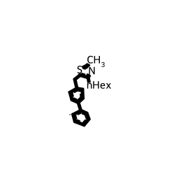 CCCCCCc1nc(C)sc1Cc1ccc(-c2[c]cccc2)cc1